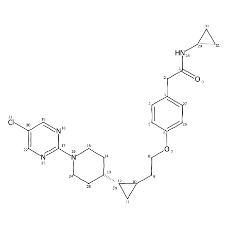 O=C(Cc1ccc(OCCC2C[C@@H]2C2CCN(c3ncc(Cl)cn3)CC2)cc1)NC1CC1